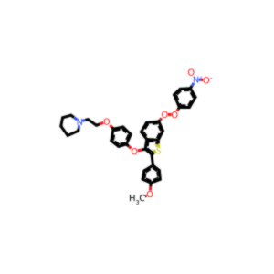 COc1ccc(-c2sc3cc(OOc4ccc([N+](=O)[O-])cc4)ccc3c2Oc2ccc(OCCN3CCCCC3)cc2)cc1